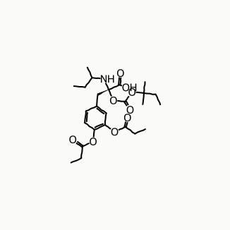 CCC(=O)Oc1ccc(C[C@](NC(C)CC)(OC(=O)OC(C)(C)CC)C(=O)O)cc1OC(=O)CC